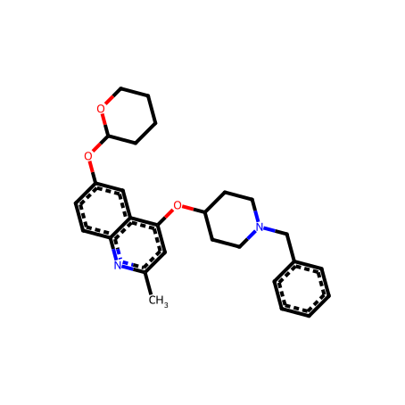 Cc1cc(OC2CCN(Cc3ccccc3)CC2)c2cc(OC3CCCCO3)ccc2n1